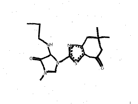 CCCNC1C(=O)N(C)CN1c1nc2c(s1)C(=O)CC(C)(C)C2